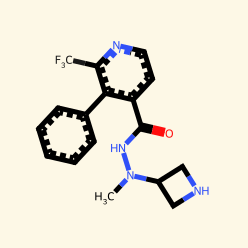 CN(NC(=O)c1ccnc(C(F)(F)F)c1-c1ccccc1)C1CNC1